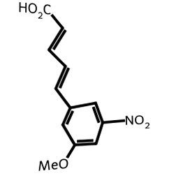 COc1cc(C=CC=CC(=O)O)cc([N+](=O)[O-])c1